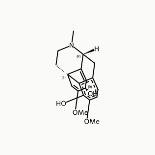 COC1=C[C@]23CCN(C)[C@H](Cc4ccc(OC)c(O)c42)C3=C[C@H]1O